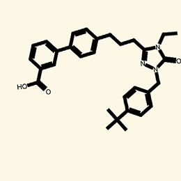 CCn1c(CCCc2ccc(-c3cccc(C(=O)O)c3)cc2)nn(Cc2ccc(C(C)(C)C)cc2)c1=O